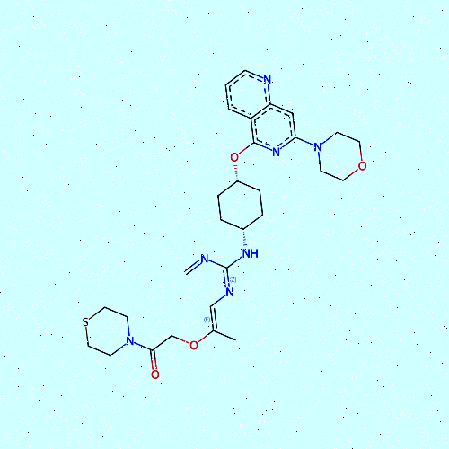 C=N/C(=N\C=C(/C)OCC(=O)N1CCSCC1)N[C@H]1CC[C@@H](Oc2nc(N3CCOCC3)cc3ncccc23)CC1